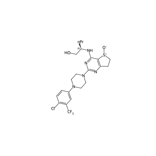 CCC[C@H](CO)Nc1nc(N2CCN(c3ccc(Cl)c(C(F)(F)F)c3)CC2)nc2c1[S+]([O-])CC2